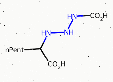 CCCCCC(NNNC(=O)O)C(=O)O